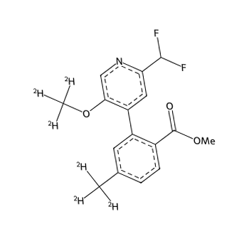 [2H]C([2H])([2H])Oc1cnc(C(F)F)cc1-c1cc(C([2H])([2H])[2H])ccc1C(=O)OC